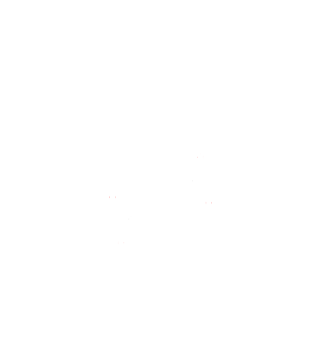 CC/C=C\CCOC(=O)/C=C/C(=O)OCCCC